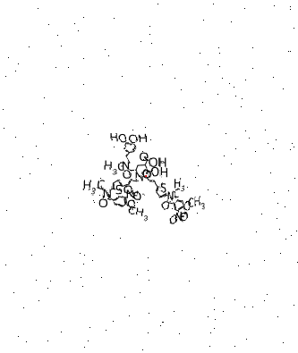 CCN(C(=O)c1ccc(OC)c([N+](=O)[O-])c1)c1ccc(/C=C/CN(C/C=C/c2ccc(N(CC)C(=O)c3ccc(OC)c([N+](=O)[O-])c3)s2)C(CC(C(=O)O)C(=O)O)C(=O)N(C)CCc2ccc(O)c(O)c2)s1